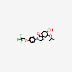 CC(C)OC1CC2(CCC1O)CCN(c1ccc(OCC(F)(F)F)cc1)C2=O